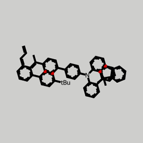 C=C/C=c1/cccc(-c2ccc(C(C)(C)C)cc2)/c1=C(/C)c1ccc(-c2ccc(N(c3ccccc3-c3ccccc3)c3cccc4c3C(C)(C)c3ccccc3-4)cc2)cc1